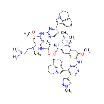 C=C(NC(=O)C=Cc1cc(Nc2ncc(-c3cnn(C)c3)c(-c3cn4c5c(cccc35)CCC4)n2)c(OC)cc1N(C)CCN(C)C)C(=O)Nc1cc(Nc2nccc(-c3cn4c5c(cccc35)CCC4)n2)c(OC)cc1N(C)CCN(C)C